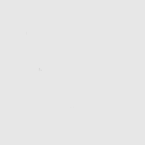 CCC1CCC(Oc2ccc(C3=CCN(CCCC(=O)O)CC3)cc2)CC1